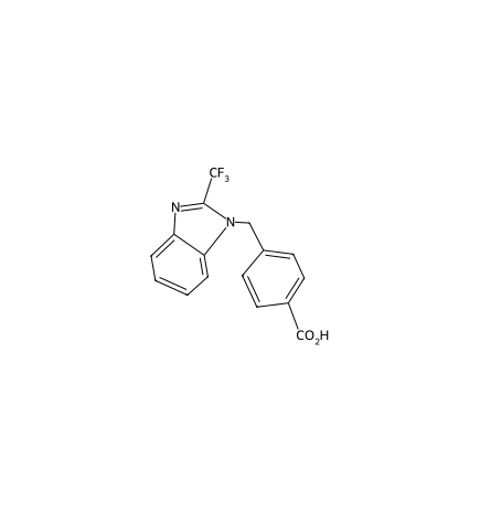 O=C(O)c1ccc(Cn2c(C(F)(F)F)nc3ccccc32)cc1